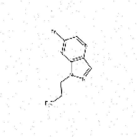 CC(C)c1cnc2cnn(CCC(F)(F)F)c2n1